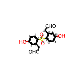 O=CCc1cc(O)ccc1S(=O)(=O)c1ccc(O)cc1CC=O